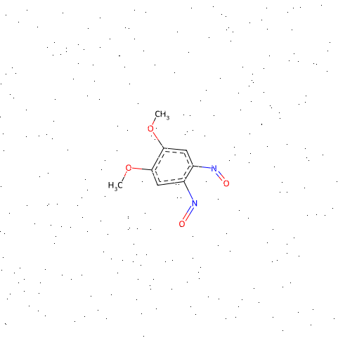 COc1cc(N=O)c(N=O)cc1OC